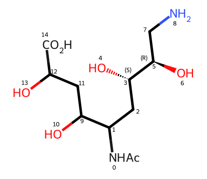 CC(=O)NC(C[C@H](O)[C@H](O)CN)C(O)CC(O)C(=O)O